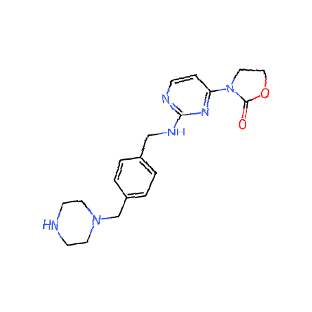 O=C1OCCN1c1ccnc(NCc2ccc(CN3CCNCC3)cc2)n1